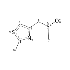 Cc1nc(C[S+]([O-])I)cs1